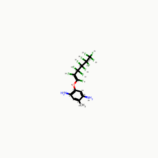 Cc1cc(N)c(OC(F)=C(F)C(F)(F)C(F)(F)C(F)(F)C(F)(F)F)cc1N